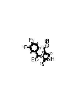 CCC(c1ccc(F)c(F)c1)n1c(COCl)c[nH]c1=S